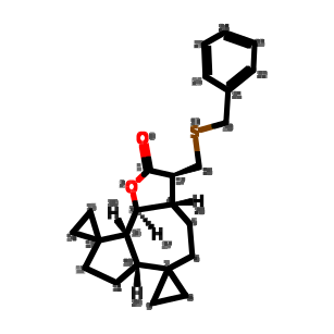 O=C1O[C@H]2[C@@H](CCC3(CC3)[C@@H]3CCC4(CC4)[C@H]23)[C@@H]1CSCc1ccccc1